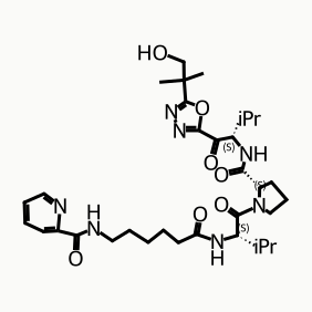 CC(C)[C@H](NC(=O)[C@@H]1CCCN1C(=O)[C@@H](NC(=O)CCCCCNC(=O)c1ccccn1)C(C)C)C(=O)c1nnc(C(C)(C)CO)o1